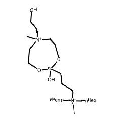 CCCCCC[N+](C)(CCCCC)CCC[Si]1(O)OCC[N+](C)(CCO)CCO1